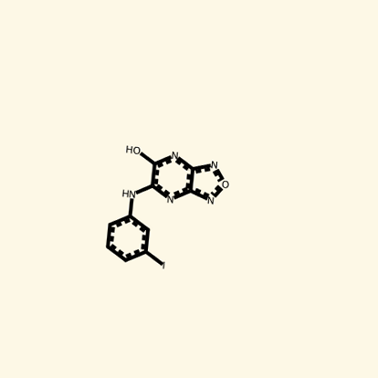 Oc1nc2nonc2nc1Nc1cccc(I)c1